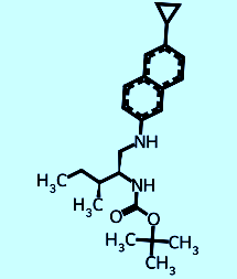 CC[C@H](C)[C@@H](CNc1ccc2cc(C3CC3)ccc2c1)NC(=O)OC(C)(C)C